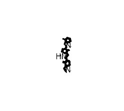 Cc1cccc2c1CC(c1ccc3[nH]c(-c4ccc5c(ccn5C)c4C)cc3c1C)N2C